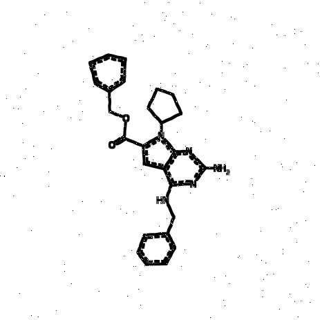 Nc1nc(NCc2ccccc2)c2cc(C(=O)OCc3ccccc3)n(C3CCCC3)c2n1